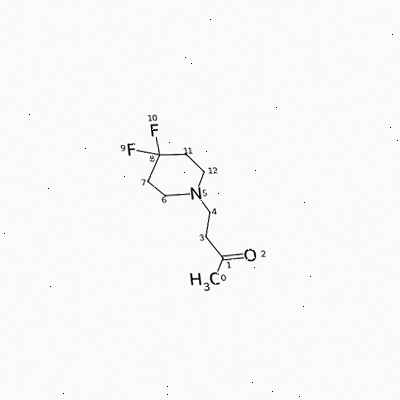 CC(=O)CCN1CCC(F)(F)CC1